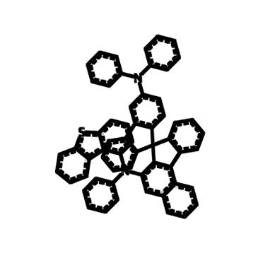 c1ccc(N(c2ccccc2)c2ccc3c(c2)-c2ccccc2C32c3ccccc3-c3c2c(N(c2ccccc2)c2cccc4sc5ccccc5c24)cc2ccccc32)cc1